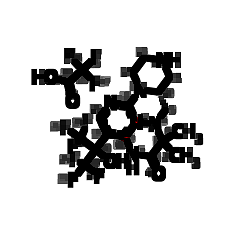 CC1(C)C(=O)NCCN1C[C@H]1CNCCN1c1ncc(C(O)(C(F)(F)F)C(F)(F)F)cn1.O=C(O)C(F)(F)F